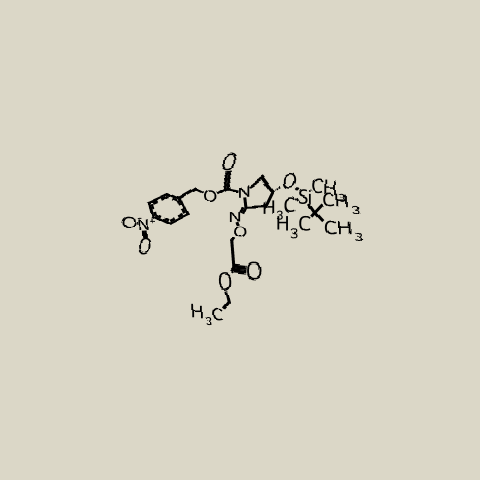 CCOC(=O)CON=C1C[C@@H](O[Si](C)(C)C(C)(C)C)CN1C(=O)OCc1ccc([N+](=O)[O-])cc1